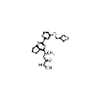 CN(CC(=O)NC(C)(C)C)c1nc(-c2cc(OCC3COC3)ccn2)nc2c1CCC2